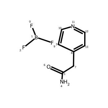 FB(F)F.NC(=O)Cc1ccncc1